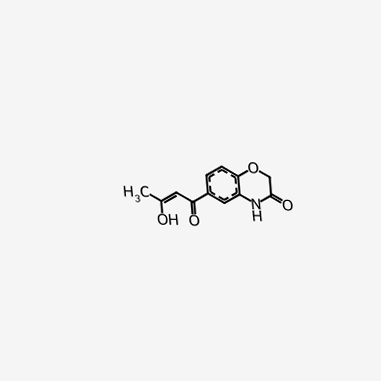 CC(O)=CC(=O)c1ccc2c(c1)NC(=O)CO2